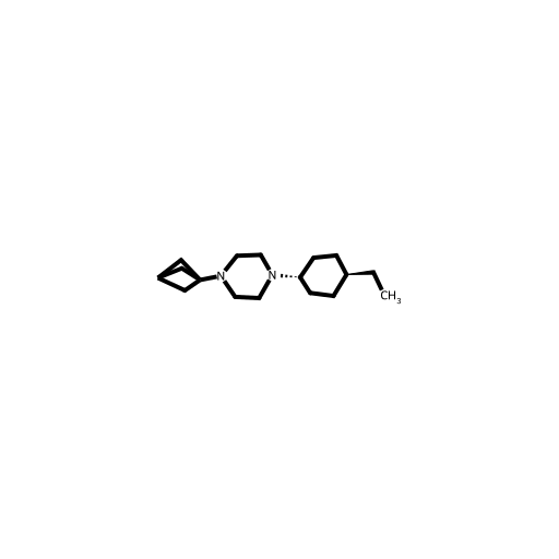 CC[C@H]1CC[C@H](N2CCN(C34CC(C3)C4)CC2)CC1